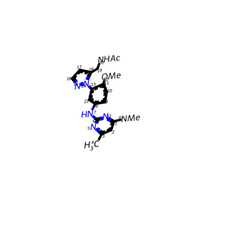 CNc1cc(C)nc(Nc2ccc(OC)c(-n3nccc3CNC(C)=O)c2)n1